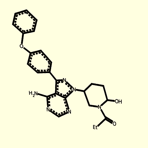 CCC(=O)N1CC(n2nc(-c3ccc(Oc4ccccc4)cc3)c3c(N)ncnc32)CCC1O